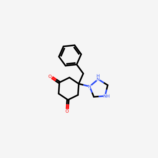 O=C1CC(=O)CC(Cc2ccccc2)(N2CNCN2)C1